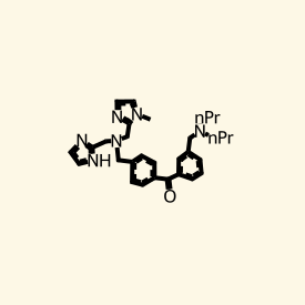 CCCN(CCC)Cc1cccc(C(=O)c2ccc(CN(Cc3ncc[nH]3)Cc3nccn3C)cc2)c1